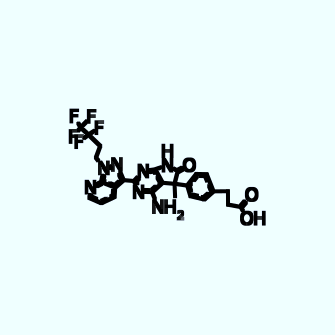 CC1(c2ccc(CCC(=O)O)cc2)C(=O)Nc2nc(-c3nn(CCC(F)(F)C(F)(F)F)c4ncccc34)nc(N)c21